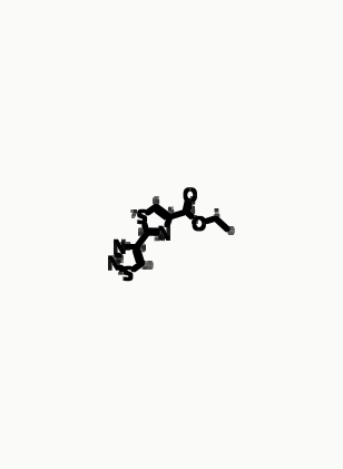 CCOC(=O)c1csc(-c2csnn2)n1